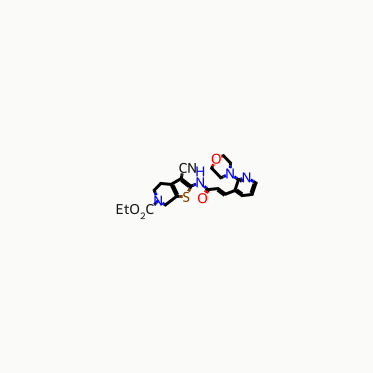 CCOC(=O)N1CCc2c(sc(NC(=O)C=Cc3cccnc3N3CCOCC3)c2C#N)C1